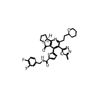 Cc1nnc(-c2c(CCC3CCCCO3)nc3c(c2-c2ccc(C(=O)NCc4ccc(F)c(F)c4)s2)C(=O)N2CCC[C@@H]32)o1